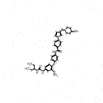 CCC(CC)NC(=O)Nc1ccc(Oc2ccc(NC(=O)c3ccc(-n4ccc(CN5CCC(O)CC5)c4)cc3)cc2)c(OC)c1